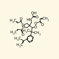 C=CC(=O)OCC(CNC(=O)O)(COC(=O)C=C)C(OOC(=O)C=C)C(C)(C)c1cccc(C(=C)C)c1